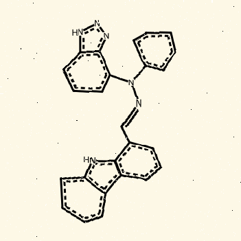 C(=NN(c1ccccc1)c1cccc2[nH]nnc12)c1cccc2c1[nH]c1ccccc12